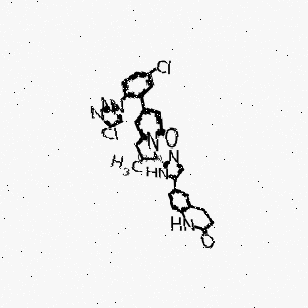 C[C@H]1Cc2cc(-c3cc(Cl)ccc3-n3cc(Cl)nn3)cc(=O)n2[C@@H]1c1ncc(-c2ccc3c(c2)CCC(=O)N3)[nH]1